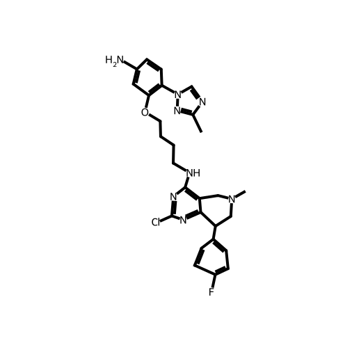 Cc1ncn(-c2ccc(N)cc2OCCCCNc2nc(Cl)nc3c2CN(C)CC3c2ccc(F)cc2)n1